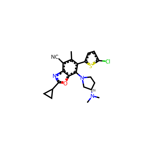 Cc1c(-c2ccc(Cl)s2)c(N2CC[C@H](N(C)C)C2)c2oc(C3CC3)nc2c1C#N